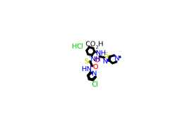 CN1CCc2nc(C(=O)N[C@@H]3C[C@@H](C(=O)O)CC[C@@H]3NC(=S)C(=O)Nc3ccc(Cl)cn3)sc2C1.Cl